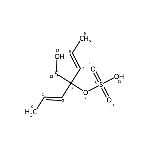 CC=CC(C=CC)(OS(=O)(=O)O)SO